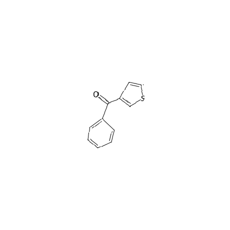 O=C(c1ccccc1)c1c[c]sc1